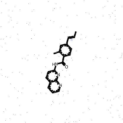 C/C=C/c1ccc(C(=O)Nc2ccc3cccnc3n2)c(C)c1